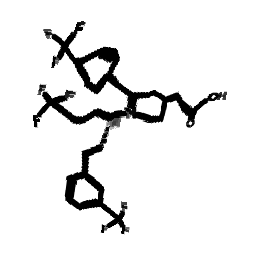 O=C(O)CC1CCN([C@H](CCc2cccc(C(F)(F)F)c2)CCC(F)(F)F)C(c2ccc(C(F)(F)F)cc2)C1